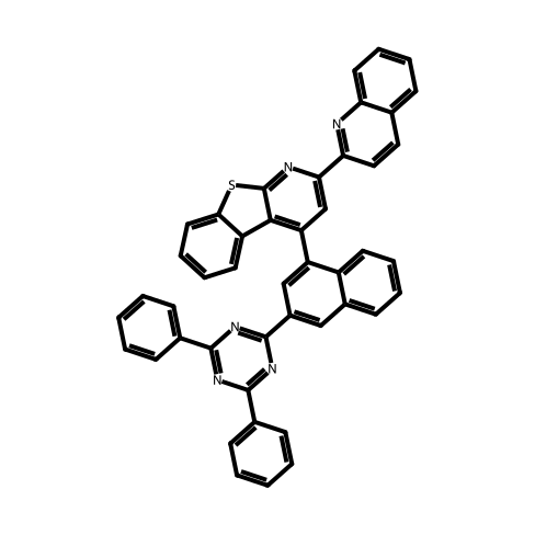 c1ccc(-c2nc(-c3ccccc3)nc(-c3cc(-c4cc(-c5ccc6ccccc6n5)nc5sc6ccccc6c45)c4ccccc4c3)n2)cc1